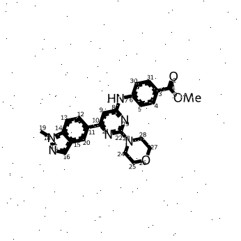 COC(=O)c1ccc(Nc2cc(-c3ccc4c(cnn4C)c3)nc(N3CCOCC3)n2)cc1